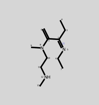 C=C(/C(CC)=N\CC)N(C)CCNC